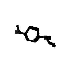 CNc1ccc(NC=O)cc1